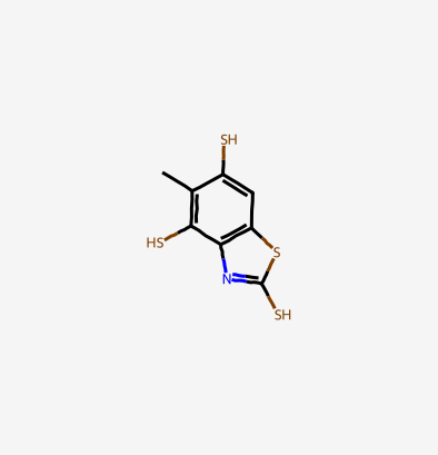 Cc1c(S)cc2sc(S)nc2c1S